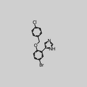 Clc1ccc(COc2ccc(Br)cc2-c2cnc[nH]2)cc1